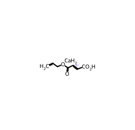 C=CCOC(=O)/C=C/C(=O)O.[CaH2]